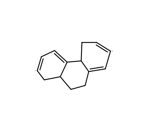 [C]1=CC=C2C(C1)CCC1=C[C]=CCC12